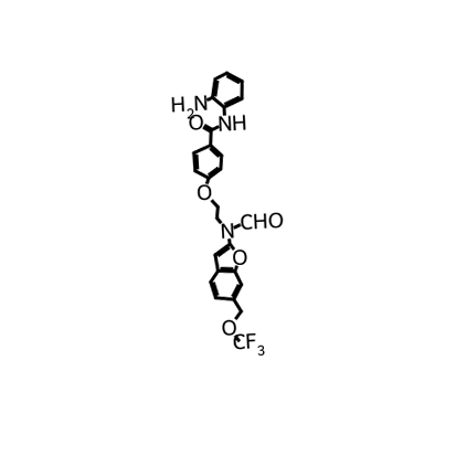 Nc1ccccc1NC(=O)c1ccc(OCCN(C=O)c2cc3ccc(COC(F)(F)F)cc3o2)cc1